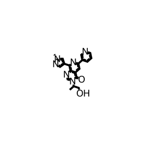 CC(CO)n1cnc2c(-c3cnn(C)c3)nc(-c3cccnc3)cc2c1=O